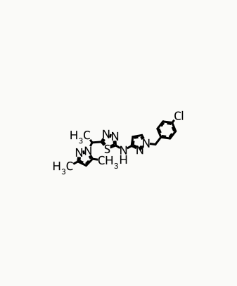 Cc1cc(C)n(C(C)c2nnc(Nc3ccn(Cc4ccc(Cl)cc4)n3)s2)n1